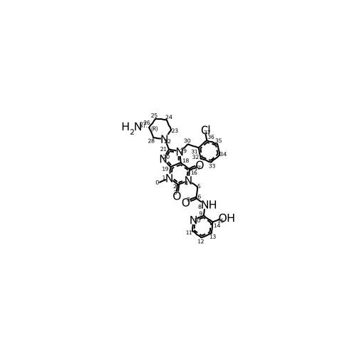 Cn1c(=O)n(CC(=O)Nc2ncccc2O)c(=O)c2c1nc(N1CCC[C@@H](N)C1)n2Cc1ccccc1Cl